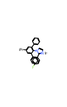 CC(C)c1cc(-c2ccccc2)c(-n2ccnc2-c2ccc(F)cc2)c(-c2ccccc2)c1.[Ir]